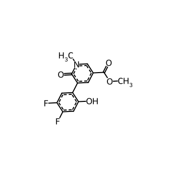 COC(=O)c1cc(-c2cc(F)c(F)cc2O)c(=O)n(C)c1